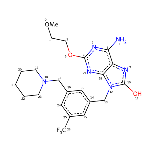 COCCOc1nc(N)c2nc(O)n(Cc3cc(CN4CCCCC4)cc(C(F)(F)F)c3)c2n1